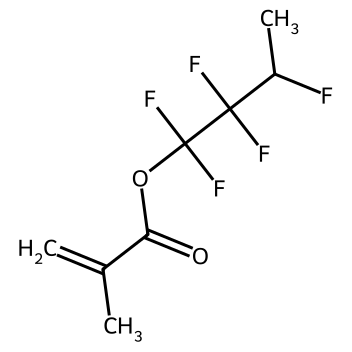 C=C(C)C(=O)OC(F)(F)C(F)(F)C(C)F